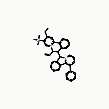 C=CC1C(C2c3ccccc3-c3c(-c4ccccc4)ccc[n+]32)c2ccccc2-c2cc(CC)c([Si](C)(C)C)c[n+]21